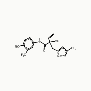 C=CC(O)(Cn1cc(C(F)(F)F)cn1)C(=O)Nc1ccc(C#N)c(C(F)(F)F)c1